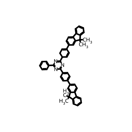 CC1(C)c2ccccc2-c2ccc(C3=CCC(c4nc(-c5ccccc5)nc(-c5ccc(-c6ccc7c(c6)C(C)(C)c6ccccc6-7)cc5)n4)C=C3)cc21